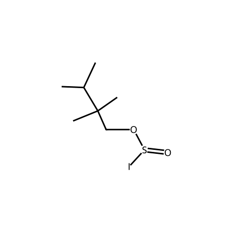 CC(C)C(C)(C)COS(=O)I